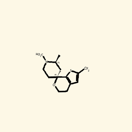 C[C@H]1C[C@@]2(CCN1C(=O)O)OCCc1cc(C(F)(F)F)sc12